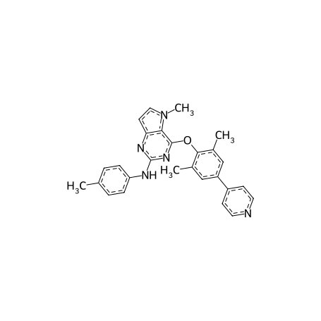 Cc1ccc(Nc2nc(Oc3c(C)cc(-c4ccncc4)cc3C)c3c(ccn3C)n2)cc1